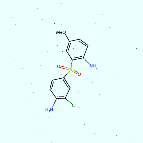 COc1ccc(N)c(S(=O)(=O)c2ccc(N)c(Cl)c2)c1